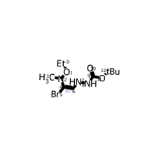 CCON(C)/C(Br)=C\NNC(=O)OC(C)(C)C